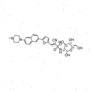 CN1CCN(c2ccc3cc(-c4ccc(/C=C(\C#N)S(=O)(=O)N[C@H]5C(O)O[C@H](CO)[C@@H](O)[C@@H]5O)o4)ccc3c2)CC1